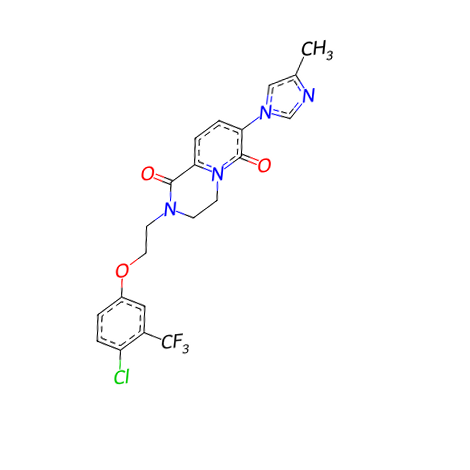 Cc1cn(-c2ccc3n(c2=O)CCN(CCOc2ccc(Cl)c(C(F)(F)F)c2)C3=O)cn1